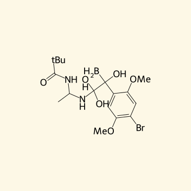 BC(O)(c1cc(OC)c(Br)cc1OC)C(O)(O)NC(C)NC(=O)C(C)(C)C